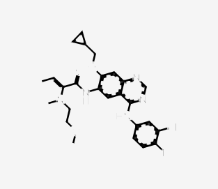 CC=C(C(=O)Nc1cc2c(Nc3ccc(F)c(Cl)c3)ncnc2cc1OCC1CC1)N(C)CCOC